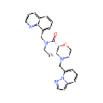 CC(C)CN(Cc1cccc2cccnc12)C(=O)[C@H]1CN(Cc2cccc3ccnn23)CCO1